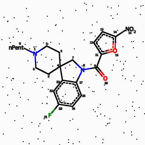 CCCCCN1CCC2(CC1)CN(C(=O)c1ccc([N+](=O)[O-])o1)c1ccc(F)cc12